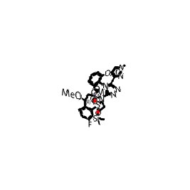 COc1cccc(OC)c1-n1c(-c2ccn(C)n2)nnc1N(CC[Si](C)(C)C)S(=O)(=O)C[C@H](OC)c1ccc(F)cc1S(C)(=O)=O